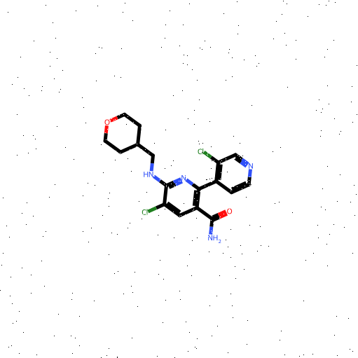 NC(=O)c1cc(Cl)c(NCC2CCOCC2)nc1-c1c[c]ncc1Cl